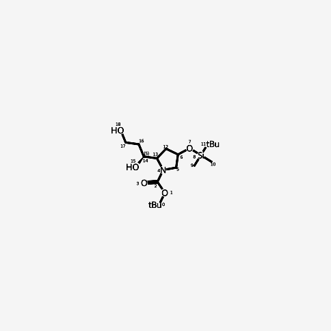 CC(C)(C)OC(=O)N1CC(O[Si](C)(C)C(C)(C)C)CC1[C@@H](O)CCO